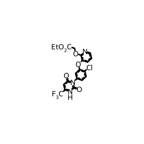 CCOC(=O)COc1ncccc1Oc1cc(-n2c(=O)cc(C(F)(F)F)[nH]c2=O)ccc1Cl